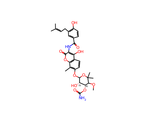 COC1[C@H](OC(N)=O)[C@H](O)C(Oc2ccc3c(O)c(NC(=O)c4ccc(O)c(CC=C(C)C)c4)c(=O)oc3c2C)OC1(C)C